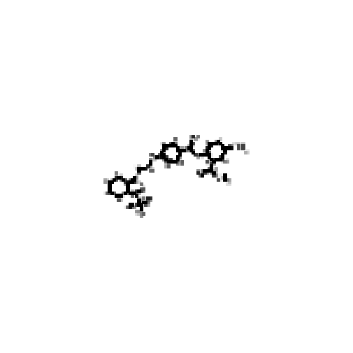 Cc1ccc(NC(=O)c2ccc(OCCn3nc(C(F)(F)F)c4c3CCCC4)cc2)c(C(N)=O)c1